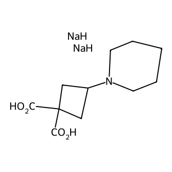 O=C(O)C1(C(=O)O)CC(N2CCCCC2)C1.[NaH].[NaH]